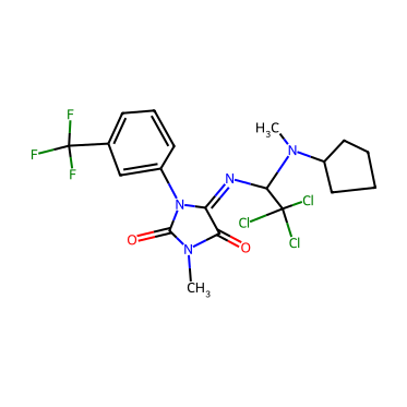 CN1C(=O)C(=NC(N(C)C2CCCC2)C(Cl)(Cl)Cl)N(c2cccc(C(F)(F)F)c2)C1=O